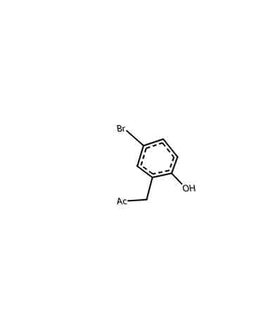 CC(=O)Cc1cc(Br)ccc1O